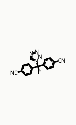 N#Cc1ccc(C(F)(c2ccc(C#N)cc2)n2cnnn2)cc1